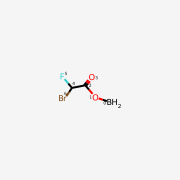 BOC(=O)C(F)Br